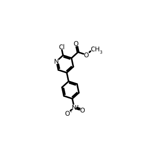 COC(=O)c1cc(-c2ccc([N+](=O)[O-])cc2)cnc1Cl